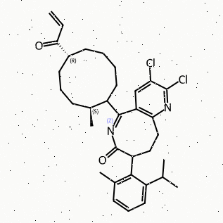 C=CC(=O)[C@@H]1CCCCC(/C2=N/C(=O)C(c3c(C)cccc3C(C)C)CCc3nc(Cl)c(Cl)cc32)[C@@H](C)CCC1